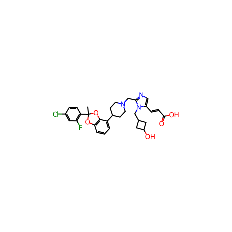 CC1(c2ccc(Cl)cc2F)Oc2cccc(C3CCN(Cc4ncc(/C=C/C(=O)O)n4CC4CC(O)C4)CC3)c2O1